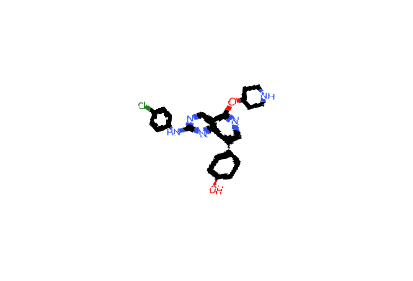 O[C@H]1CC[C@H](c2cnc(OC3CCNCC3)c3cnc(Nc4ccc(Cl)cc4)nc32)CC1